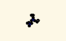 C1=CCc2c(cccc2-c2ccc(N(c3ccc(-c4cccc5ccccc45)cc3)c3cccc(-c4cccc5c4c4ccc6ccccc6c4n5C4=CCCC=C4)c3)cc2)C=C1